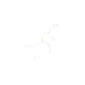 CCOC(=O)Cc1nc(SC)sc1C(=O)OCC